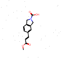 COC(=O)C=Cc1ccc2c(c1)CN(C(=O)O)C2